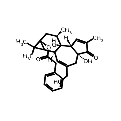 CC1=C[C@H]2[C@@]3(O)[C@H](C)C[C@]4(OC(=O)Cc5ccccc5)C([C@@H]3C=C(CO)C[C@]2(O)C1=O)C4(C)C